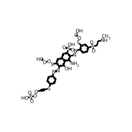 CNCCS(=O)(=O)c1ccc(N=Nc2c(S(=O)(=O)O)cc3cc(SOOO)c(N=Nc4ccc(SC#COOS(=O)(=O)O)cc4)c(O)c3c2N)c(SOOO)c1